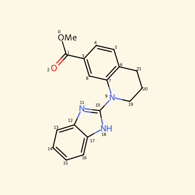 COC(=O)c1ccc2c(c1)N(c1nc3ccccc3[nH]1)CCC2